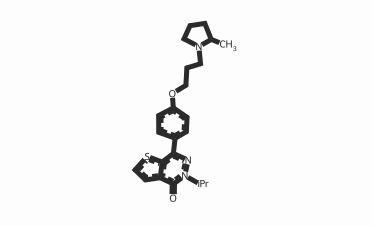 CC1CCCN1CCCOc1ccc(-c2nn(C(C)C)c(=O)c3ccsc23)cc1